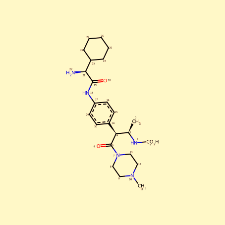 C[C@@H](NC(=O)O)[C@@H](C(=O)N1CCN(C)CC1)c1ccc(NC(=O)[C@@H](N)C2CCCCC2)cc1